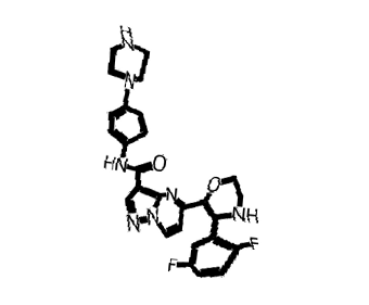 O=C(Nc1ccc(N2CCNCC2)cc1)c1cnn2ccc(C3OCCNC3c3cc(F)ccc3F)nc12